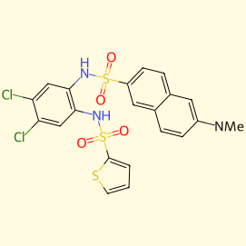 CNc1ccc2cc(S(=O)(=O)Nc3cc(Cl)c(Cl)cc3NS(=O)(=O)c3cccs3)ccc2c1